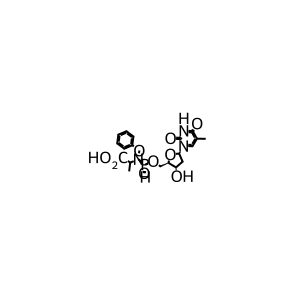 Cc1cn([C@H]2C[C@H](O)[C@@H](CO[PH](=O)N(Oc3ccccc3)C(C)C(=O)O)O2)c(=O)[nH]c1=O